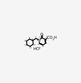 Cl.O=C(O)c1cccn(CC2CCCCC2)c1=O